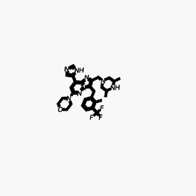 Cc1c(Cc2c(CN3CC(C)NC(C)C3)nc3c(-c4cnc[nH]4)cc(N4CCOCC4)nn23)cccc1C(F)(F)F